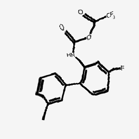 Cc1cccc(-c2ccc(F)cc2NC(=O)OC(=O)C(F)(F)F)c1